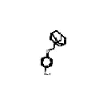 CCOC(=O)c1ccc(NCC23CC4CC(CC(C4)C2)C3)cc1